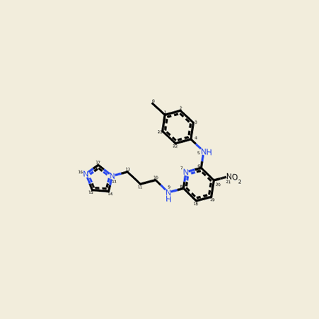 Cc1ccc(Nc2nc(NCCCn3ccnc3)ccc2[N+](=O)[O-])cc1